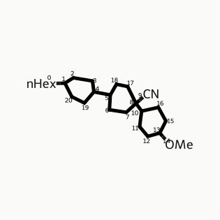 CCCCCCC1CCC(C2CCC(C#N)(C3CCC(OC)CC3)CC2)CC1